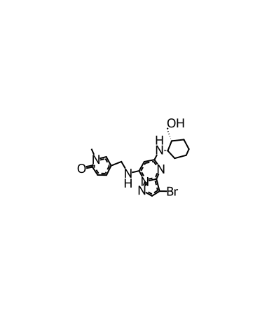 Cn1cc(CNc2cc(N[C@H]3CCCC[C@H]3CO)nc3c(Br)cnn23)ccc1=O